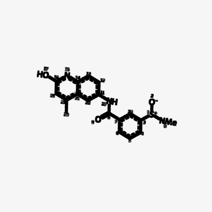 CN[S+]([O-])c1cccc(C(=O)Nc2ccc3nc(O)cc(C)c3c2)c1